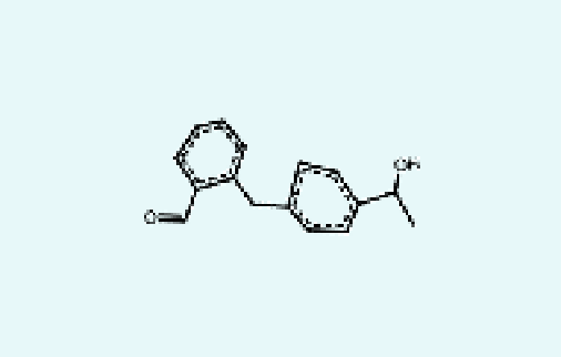 CC(O)c1ccc(Cc2ccccc2C=O)cc1